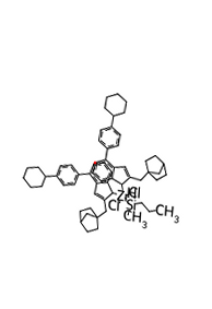 CCC[SiH](C)[Zr]([Cl])([Cl])([CH]1C(CC23CCC(CC2)C3)=Cc2c(-c3ccc(C4CCCCC4)cc3)cccc21)[CH]1C(CC23CCC(CC2)C3)=Cc2c(-c3ccc(C4CCCCC4)cc3)cccc21